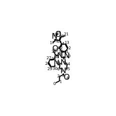 CCCC(=O)N1CCN(c2nc3ccc(-c4c(C)noc4C)c4c3n2[C@@H](c2ccccn2)CO4)CC1